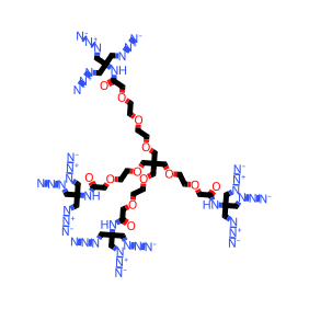 [N-]=[N+]=NCC(CN=[N+]=[N-])(CN=[N+]=[N-])NC(=O)COCCOCCOCC(COCCOCC(=O)NC(CN=[N+]=[N-])(CN=[N+]=[N-])CN=[N+]=[N-])(COCCOCC(=O)NC(CN=[N+]=[N-])(CN=[N+]=[N-])CN=[N+]=[N-])COCCOCC(=O)NC(CN=[N+]=[N-])(CN=[N+]=[N-])CN=[N+]=[N-]